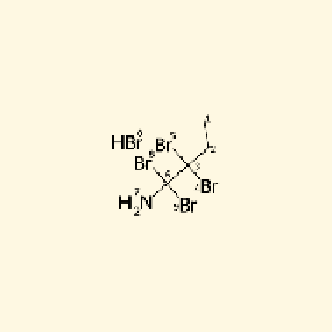 Br.CCC(Br)(Br)C(N)(Br)Br